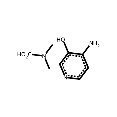 CN(C)C(=O)O.Nc1ccncc1O